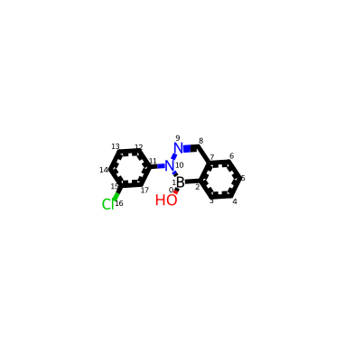 OB1c2ccccc2C=NN1c1cccc(Cl)c1